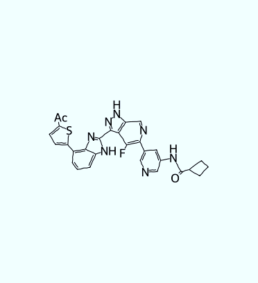 CC(=O)c1ccc(-c2cccc3[nH]c(-c4n[nH]c5cnc(-c6cncc(NC(=O)C7CCC7)c6)c(F)c45)nc23)s1